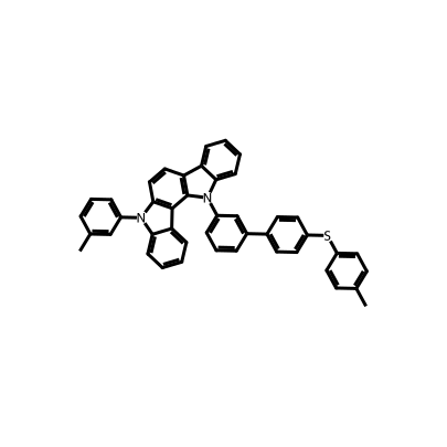 Cc1ccc(Sc2ccc(-c3cccc(-n4c5ccccc5c5ccc6c(c7ccccc7n6-c6cccc(C)c6)c54)c3)cc2)cc1